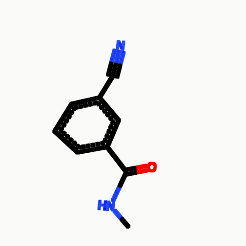 CNC(=O)c1cccc(C#N)c1